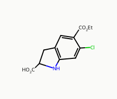 CCOC(=O)c1cc2c(cc1Cl)NC(C(=O)O)C2